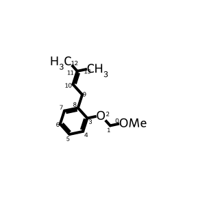 COCOc1ccccc1CC=C(C)C